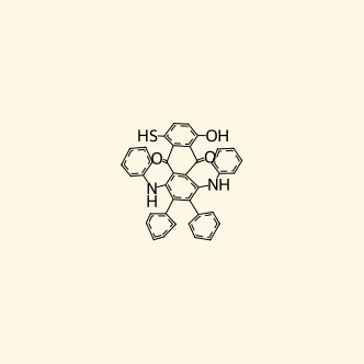 O=C1c2c(O)ccc(S)c2C(=O)c2c(Nc3ccccc3)c(-c3ccccc3)c(-c3ccccc3)c(Nc3ccccc3)c21